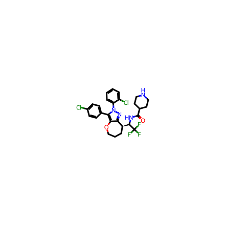 O=C(NC([C@H]1CCCOc2c1nn(-c1ccccc1Cl)c2-c1ccc(Cl)cc1)C(F)(F)F)C1CCNCC1